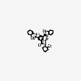 CCC1CCCCC1NC(=O)c1cc(C(=O)NC2CCCCC2CC)cc(C(=O)NC2CCCCC2CC)c1